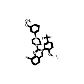 COc1cccc(N2CCN(C3=Nc4c(F)cccc4CN3c3cc(C(F)(F)F)ccc3OC)CC2)c1